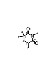 CC1CC(C)(C)C(=O)N(C)C1=O